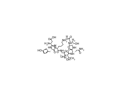 C[C@H](NC(=O)[C@H](CO)NC(=O)[C@H](CCC(N)=O)NC(=O)[C@@H](NC(=O)[C@H](CO)NC(=O)[C@H](CCCCN)NC(=O)[C@H](Cc1ccc(O)cc1)NC(=O)[C@@H](N)CC(=O)O)[C@@H](C)O)C(=O)O